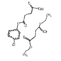 CCOC(=O)CCC(=O)OCC.O=C(O)CCC(=O)Oc1ccc(Cl)cc1